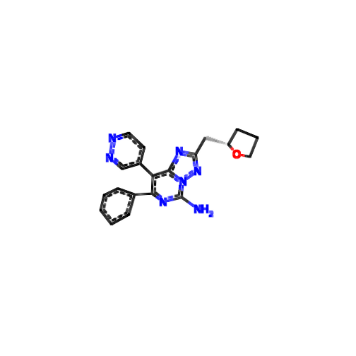 Nc1nc(-c2ccccc2)c(-c2ccnnc2)c2nc(C[C@@H]3CCCO3)nn12